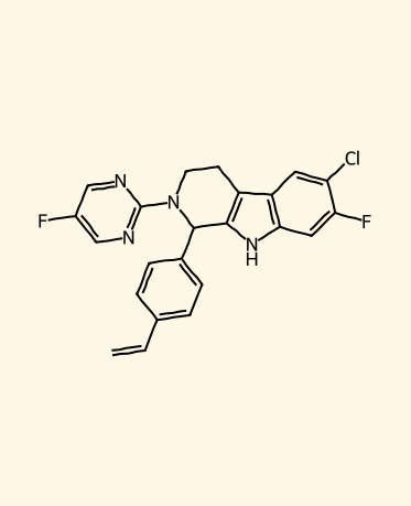 C=Cc1ccc(C2c3[nH]c4cc(F)c(Cl)cc4c3CCN2c2ncc(F)cn2)cc1